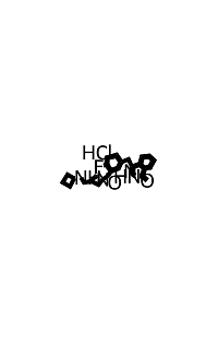 Cl.O=C(c1cc(Cc2n[nH]c(=O)c3ccccc23)ccc1F)N1CC(CNC2CCC2)C1